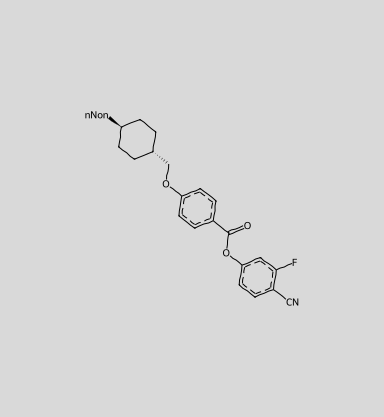 CCCCCCCCC[C@H]1CC[C@H](COc2ccc(C(=O)Oc3ccc(C#N)c(F)c3)cc2)CC1